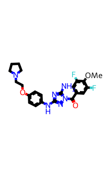 COc1c(F)cc(C(=O)n2nc(Nc3ccc(OCCN4CCCC4)cc3)nc2N)cc1F